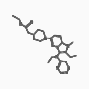 CCOC(=O)CC1CCN(C2=NN3C(N(CC)C4=NC=CSC4)=C(CC)N(C)C3C=C2)CC1